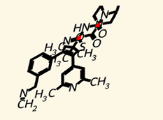 C=NCc1cccc(-c2nc(NC(=O)N3C4CCC3CN(C(=O)OC(C)(C)C)C4)sc2-c2cc(C)nc(C)c2)c1